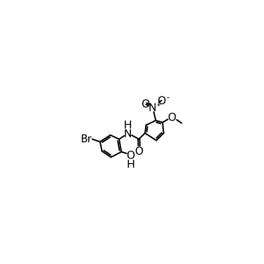 COc1ccc(C(=O)Nc2cc(Br)ccc2O)cc1[N+](=O)[O-]